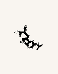 CC(C)Nc1cnc2[nH]cc(C=C(C#N)C(N)=O)c2c1